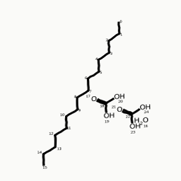 CCCCCCCCCCCCCCCC.O.O=C(O)O.O=C(O)O